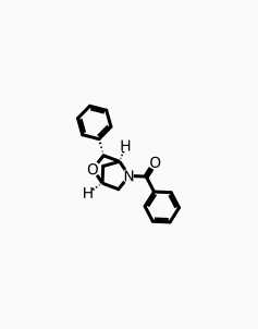 O=C(c1ccccc1)N1C[C@@H]2C[C@H]1[C@@H](c1ccccc1)O2